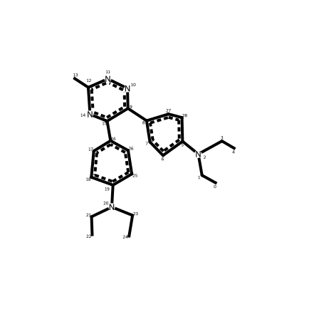 CCN(CC)c1ccc(-c2nnc(C)nc2-c2ccc(N(CC)CC)cc2)cc1